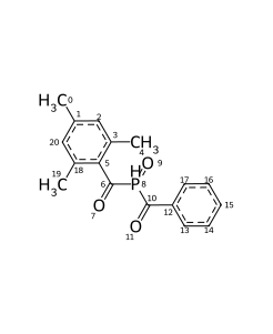 Cc1cc(C)c(C(=O)[PH](=O)C(=O)c2ccccc2)c(C)c1